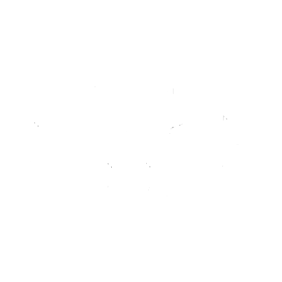 O=C1CC(=O)N(c2ccc3ncccc3c2)C(c2cc(Cl)cc(Cl)c2OCCN2CCOCC2)N1c1cccc(C(F)(F)F)c1